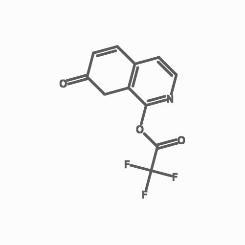 O=C1C=Cc2ccnc(OC(=O)C(F)(F)F)c2C1